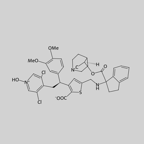 COc1ccc([C@H](Cc2c(Cl)c[n+](O)cc2Cl)c2cc(CNC3(C(=O)O[C@H]4CN5CCC4CC5)CCc4ccccc43)sc2C(=O)[O-])cc1OC